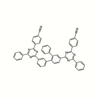 N#Cc1ccc(-c2nc(-c3ccccc3)nc(-c3cccc(-c4ccc(-c5nc(-c6ccccc6)nc(-c6ccc(C#N)cc6)n5)cc4-c4ccccc4)c3)n2)cc1